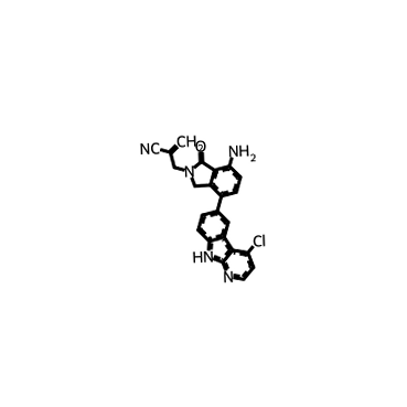 C=C(C#N)CN1Cc2c(-c3ccc4[nH]c5nccc(Cl)c5c4c3)ccc(N)c2C1=O